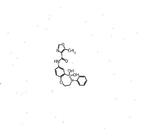 Cc1ocnc1C(=O)Nc1ccc2c(c1)S(O)(O)N(c1ccccc1)CCO2